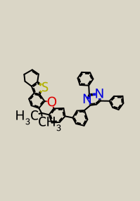 CC1(C)c2ccc(-c3cccc(-c4cc(-c5ccccc5)nc(-c5ccccc5)n4)c3)cc2Oc2c1ccc1c3c(sc21)C=CCC3